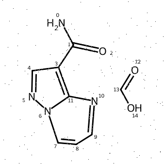 NC(=O)c1cnn2cccnc12.O=CO